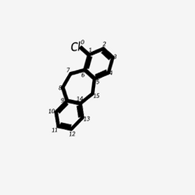 Clc1cccc2c1CCc1ccccc1C2